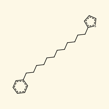 c1ccc(CCCCCCCCCCCCc2cccs2)cc1